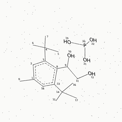 Cc1cc(C(C)(C)C)c(C(O)CO)c(C(C)(C)C)c1.OP(O)O